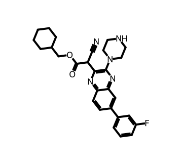 N#CC(C(=O)OCC1CCCCC1)c1nc2ccc(-c3cccc(F)c3)cc2nc1N1CCNCC1